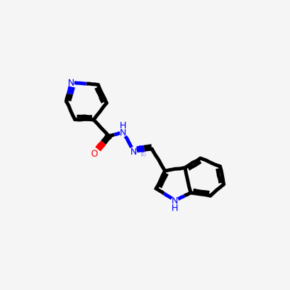 O=C(N/N=C/c1c[nH]c2ccccc12)c1ccncc1